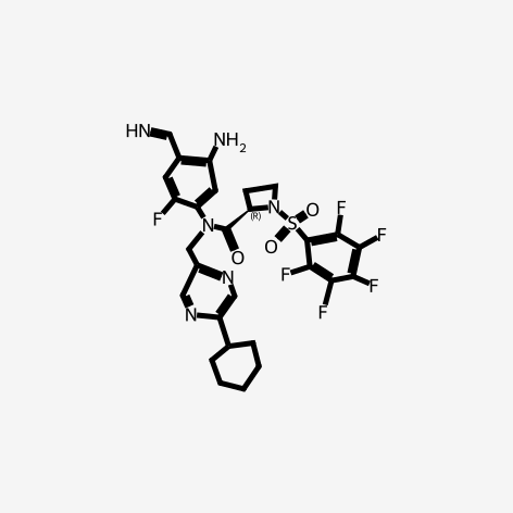 N=Cc1cc(F)c(N(Cc2cnc(C3CCCCC3)cn2)C(=O)[C@H]2CCN2S(=O)(=O)c2c(F)c(F)c(F)c(F)c2F)cc1N